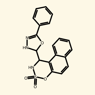 O=S1(=O)NC(C2NN=C(c3ccccc3)O2)c2c(ccc3ccccc23)O1